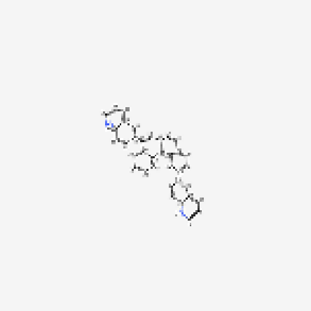 c1cnc2ccc(-c3ccc4ccc5cc(-c6ccc7ncccc7c6)c6ccccc6c5c4c3)cc2c1